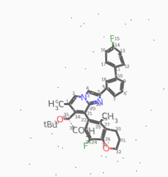 Cc1cn2cc(-c3cccc(-c4ccc(F)cc4)c3)nc2c(-c2cc(F)c3c(c2C)CCCO3)c1[C@@H](OC(C)(C)C)C(=O)O